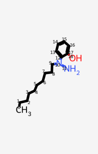 CCCCCCCCCCN(N)c1ccccc1O